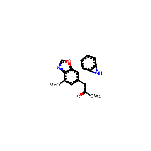 COC(=O)Cc1cc(OC)c2ncoc2c1.c1ccc2c(c1)N2